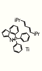 C1=CCC(N=P(c2ccccc2)(c2ccccc2)c2ccccc2)=C1.CC(C)C=CC=CC(C)C.[Ti]